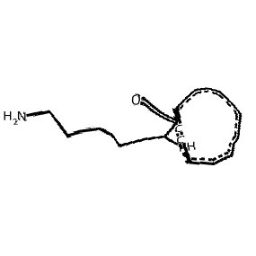 NCCCCC1Nc2ccccccc(cc2)C1=O